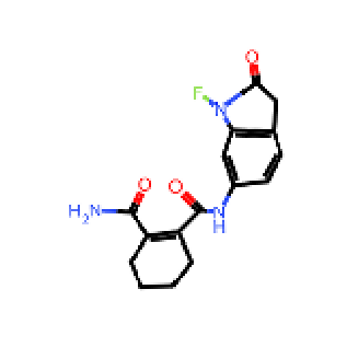 NC(=O)C1=C(C(=O)Nc2ccc3c(c2)N(F)C(=O)C3)CCCC1